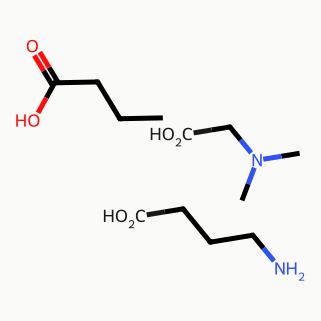 CCCC(=O)O.CN(C)CC(=O)O.NCCCC(=O)O